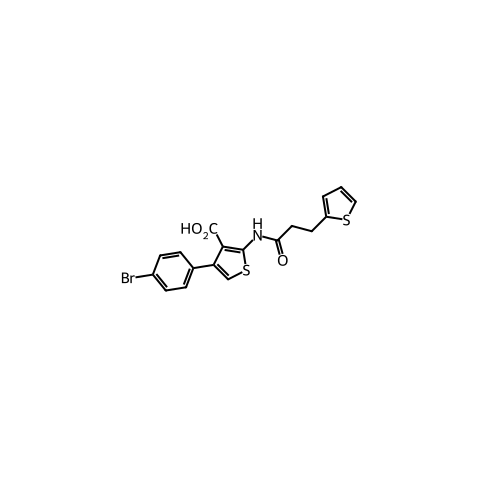 O=C(CCc1cccs1)Nc1scc(-c2ccc(Br)cc2)c1C(=O)O